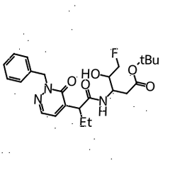 CCC(C(=O)NC(CC(=O)OC(C)(C)C)C(O)CF)c1ccnn(Cc2ccccc2)c1=O